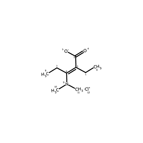 CCC(C(=O)[O-])=C(CC)N(C)C.[Cl+]